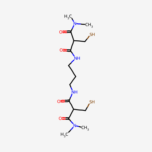 CN(C)C(=O)C(CS)C(=O)NCCCNC(=O)C(CS)C(=O)N(C)C